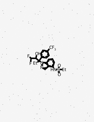 CCC(c1ccc(C(F)(F)F)cc1)(C(O)C(F)F)n1ncc2c(NS(=O)(=O)CC)cccc21